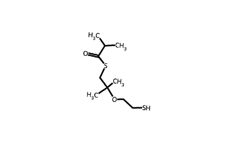 CC(C)C(=O)SCC(C)(C)OCCS